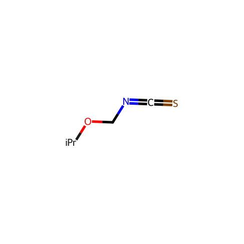 CC(C)OCN=C=S